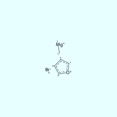 [Br-].[CH3][Mg+].c1ccoc1